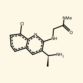 CNC(=O)CNc1nc2c(Cl)cccc2cc1[C@H](C)N